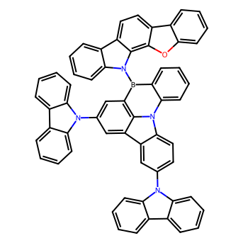 c1ccc2c(c1)B(n1c3ccccc3c3ccc4c5ccccc5oc4c31)c1cc(-n3c4ccccc4c4ccccc43)cc3c4cc(-n5c6ccccc6c6ccccc65)ccc4n-2c13